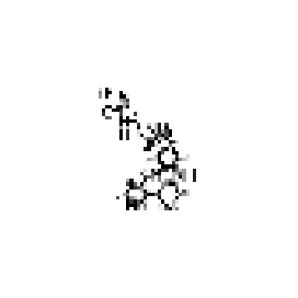 CC(C)(C)OC(=O)NCCNS(=O)(=O)c1ccc(NC2CCCCC2)c(NCc2ccncc2)c1